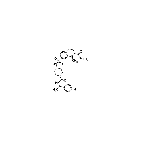 COC(=O)C1CCc2ccc(S(=O)(=O)NC3CCC(C(=O)N[C@H](C)c4ccc(F)cc4)CC3)cc2N1C